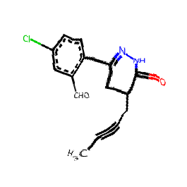 CC#CCC1CC(c2ccc(Cl)cc2C=O)=NNC1=O